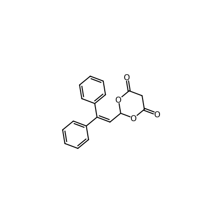 O=C1CC(=O)OC(C=C(c2ccccc2)c2ccccc2)O1